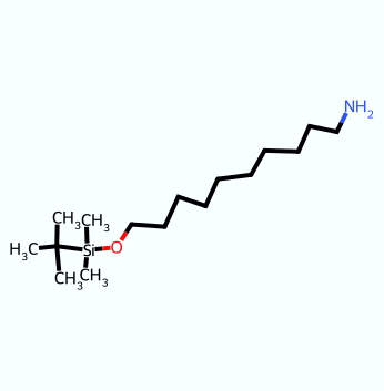 CC(C)(C)[Si](C)(C)OCCCCCCCCCCN